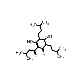 CC(C)CCC1C(=O)C(C(=O)CC(C)C)=C(O)C(CCC(C)C)C1O